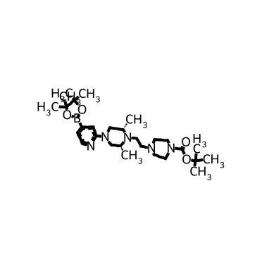 C[C@@H]1CN(c2cc(B3OC(C)(C)C(C)(C)O3)ccn2)C[C@H](C)N1CCN1CCN(C(=O)OC(C)(C)C)CC1